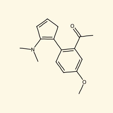 COc1ccc(C2=C(N(C)C)C=CC2)c(C(C)=O)c1